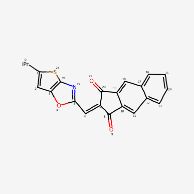 CC(C)c1cc2oc(C=C3C(=O)c4cc5ccccc5cc4C3=O)nc2s1